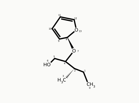 CC[C@H](C)C(CO)O[C@H]1C=CC=CO1